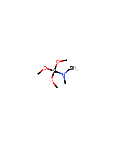 CO[Si](OC)(OC)N(C)[SiH3]